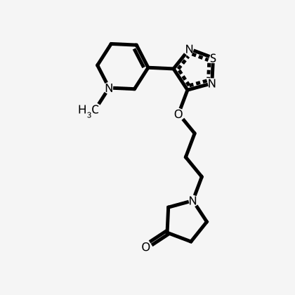 CN1CCC=C(c2nsnc2OCCCN2CCC(=O)C2)C1